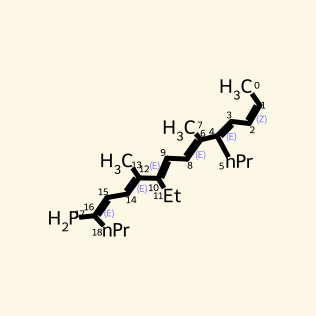 C\C=C/C=C(CCC)/C(C)=C/C=C(CC)/C(C)=C/C=C(/P)CCC